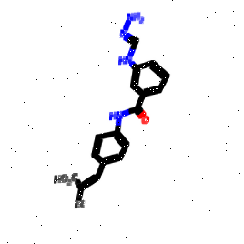 CCC(=Cc1ccc(NC(=O)c2cccc(NC=NN)c2)cc1)C(=O)O